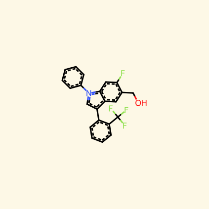 OCc1cc2c(-c3ccccc3C(F)(F)F)cn(-c3ccccc3)c2cc1F